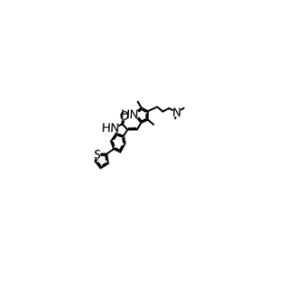 Cc1[nH]c(C=C2C(=O)Nc3cc(-c4cccs4)ccc32)c(C)c1CCCN(C)C